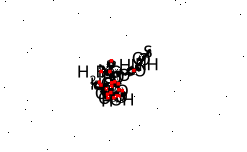 BN=N[C@@H](c1ccccc1)[C@@H](OC(=O)COc1ccc(C(=O)NNC(=O)OCCSC)cc1)C(=O)O[C@H]1C[C@@]2(O)[C@@H](OC(=O)c3ccccc3)[C@@H]3[C@]4(OC(C)=O)CO[C@@H]4C[C@H](O)[C@@]3(C)C(=O)[C@H](OC(C)=O)C(=C1C)C2(C)C